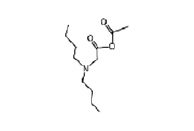 CCCCN(CCCC)CC(=O)OC(C)=O